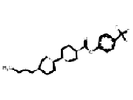 CCCC[C@H]1CC[C@H]([C@H]2CC[C@H](C(=O)Oc3ccc(C(F)(F)F)cc3)CC2)CC1